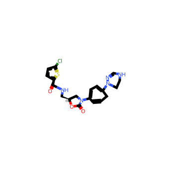 O=C(NC[C@H]1CN(C2=CC=C(N3CCNC=N3)CC#C2)C(=O)O1)c1ccc(Cl)s1